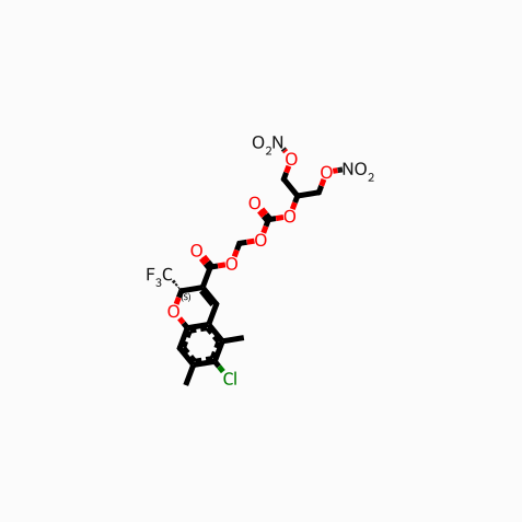 Cc1cc2c(c(C)c1Cl)C=C(C(=O)OCOC(=O)OC(CO[N+](=O)[O-])CO[N+](=O)[O-])[C@@H](C(F)(F)F)O2